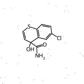 NC(=O)C1(O)C=CSc2ccc(Cl)cc21